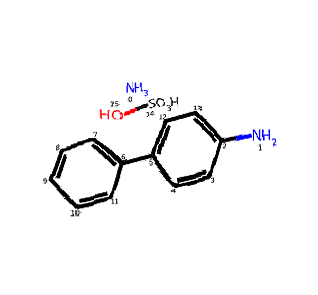 N.Nc1ccc(-c2ccccc2)cc1.O=S(=O)(O)O